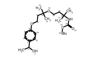 CC(O)c1ccc(OCCC(C)(C)OCCC(C)(C)NC(=O)OC(C)(C)C)cc1